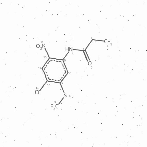 O=C(CC(F)(F)F)Nc1cc(SC(F)(F)F)c(Cl)cc1[N+](=O)[O-]